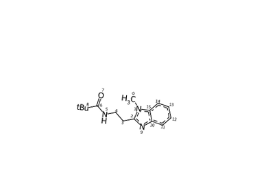 Cn1c(CCNC(=O)C(C)(C)C)nc2ccccc21